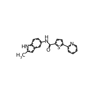 Cc1cc2cc(NC(=O)c3ccc(-c4ccccn4)s3)ccc2[nH]1